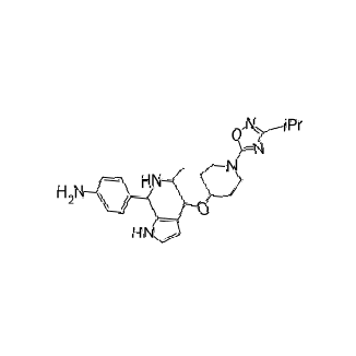 CC(C)c1noc(N2CCC(OC3c4cc[nH]c4C(c4ccc(N)cc4)NC3C)CC2)n1